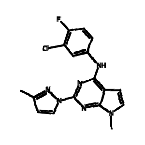 Cc1ccn(-c2nc(Nc3ccc(F)c(Cl)c3)c3ccn(C)c3n2)n1